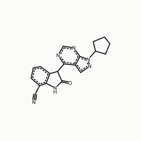 N#Cc1cccc2c1NC(=O)C2c1ncnc2c1cnn2C1CCCC1